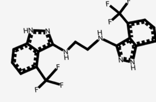 FC(F)(F)c1cccc2[nH]nc(NCCNc3n[nH]c4cccc(C(F)(F)F)c34)c12